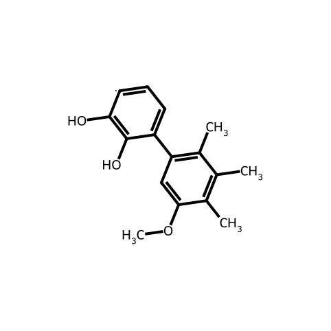 COc1cc(-c2cc[c]c(O)c2O)c(C)c(C)c1C